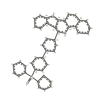 O=P(c1ccccc1)(c1ccccc1)c1ccc(-c2ccc(-c3nc4c5ccccc5ccc4c4sc5ccccc5c34)cc2)cc1